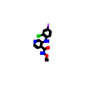 CCONC(=O)c1ccncc1Nc1ccc(I)cc1Cl